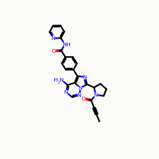 CC#CC(=O)N1CCCC1c1nc(-c2ccc(C(=O)Nc3ccccn3)cc2)c2c(N)ncnn12